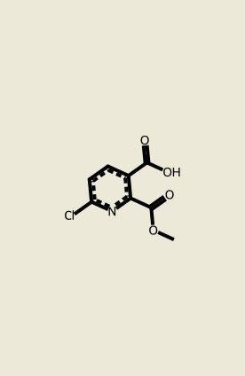 COC(=O)c1nc(Cl)ccc1C(=O)O